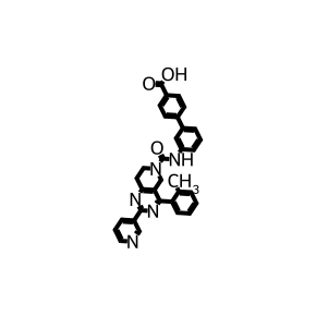 Cc1ccccc1-c1nc(-c2cccnc2)nc2c1CN(C(=O)Nc1cccc(-c3ccc(C(=O)O)cc3)c1)CC2